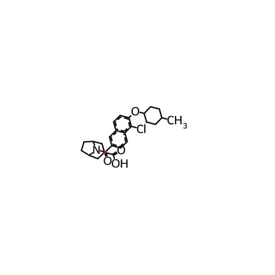 CC1CCC(Oc2ccc3cc(C(=O)N4C5CCC4CC(C(=O)O)C5)ccc3c2Cl)CC1